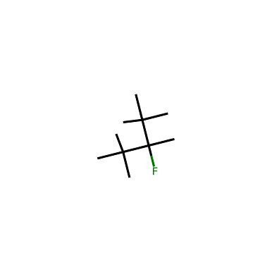 CC(C)(C)C(C)(F)C(C)(C)C